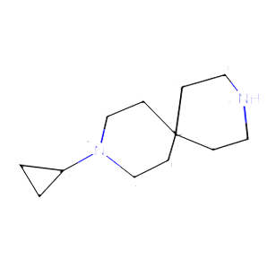 C1CC2(CCN1)CCN(C1CC1)CC2